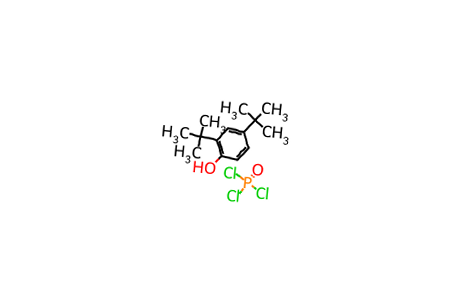 CC(C)(C)c1ccc(O)c(C(C)(C)C)c1.O=P(Cl)(Cl)Cl